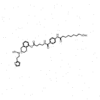 CCCCCCCCCCCCCCCCCC(=O)Nc1ccc(C(=O)NCCCC(=O)Oc2cccc3c2CC[C@H](N(CCC)CCc2cccs2)C3)cc1